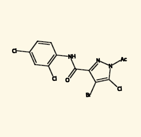 CC(=O)n1nc(C(=O)Nc2ccc(Cl)cc2Cl)c(Br)c1Cl